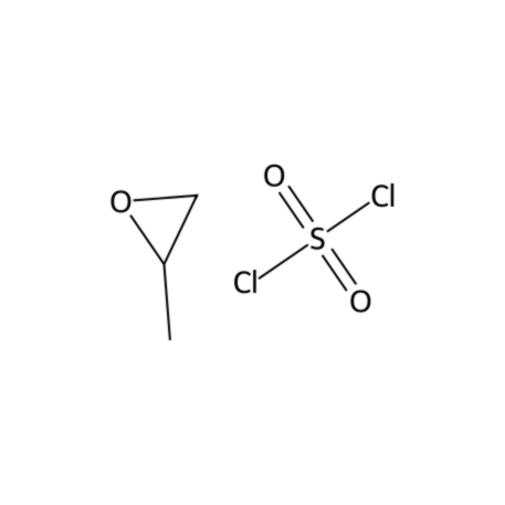 CC1CO1.O=S(=O)(Cl)Cl